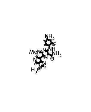 CNc1nc(Nc2ccc(N)cc2F)c(C(N)=O)nc1-c1cncc2c1ncn2C